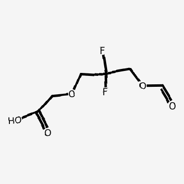 O=COCC(F)(F)COCC(=O)O